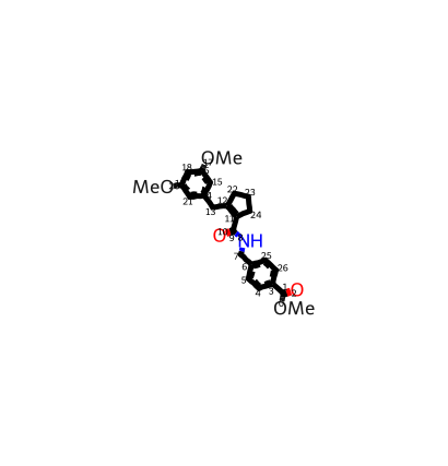 COC(=O)c1ccc(CNC(=O)C2=C(Cc3cc(OC)cc(OC)c3)CCC2)cc1